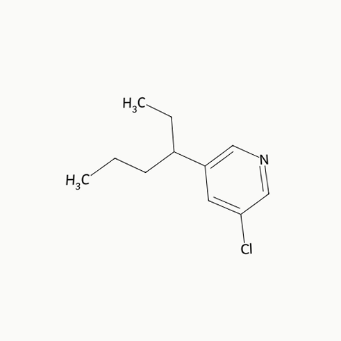 CCCC(CC)c1cncc(Cl)c1